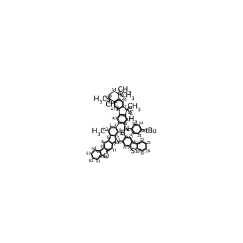 Cc1cc2c3c4c1c1cc5c(cc1n4-c1cc4sc6ccccc6c4cc1B3N(c1ccc(C(C)(C)C)cc1)c1cc3c(cc1-2)-c1cc2c(cc1C3(C)C)C(C)(C)CCC2(C)C)oc1ccccc15